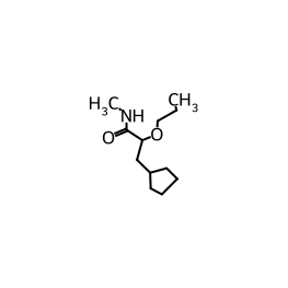 CCCOC(CC1CCCC1)C(=O)NC